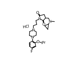 CC(C)Oc1cc(F)ccc1N1CCN(CCCN2C(=O)CC(CN(C)C3CC3)C2=O)CC1.Cl